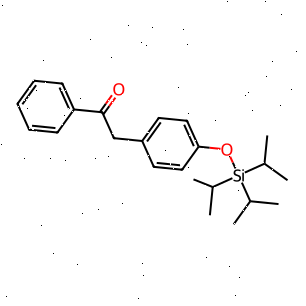 CC(C)[Si](Oc1ccc(CC(=O)c2ccccc2)cc1)(C(C)C)C(C)C